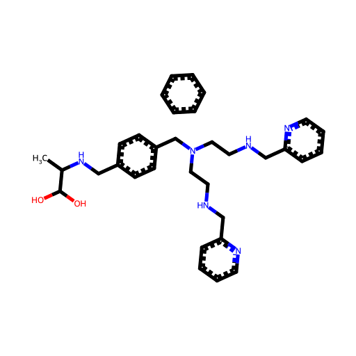 CC(NCc1ccc(CN(CCNCc2ccccn2)CCNCc2ccccn2)cc1)C(O)O.c1ccccc1